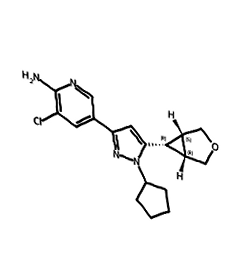 Nc1ncc(-c2cc([C@@H]3[C@@H]4COC[C@@H]43)n(C3CCCC3)n2)cc1Cl